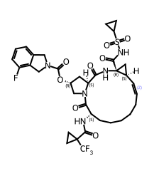 O=C1N[C@]2(C(=O)NS(=O)(=O)C3CC3)C[C@H]2/C=C\CCCCC[C@H](NC(=O)C2(C(F)(F)F)CC2)C(=O)N2C[C@H](OC(=O)N3Cc4cccc(F)c4C3)C[C@@H]12